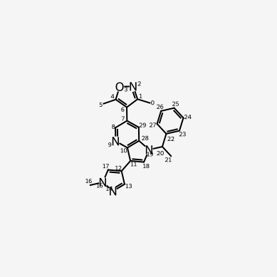 Cc1noc(C)c1-c1cnc2c(-c3cnn(C)c3)cn(C(C)c3ccccc3)c2c1